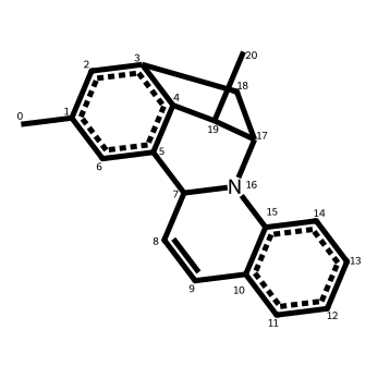 Cc1cc2c3c(c1)C1C=Cc4ccccc4N1C(C2)C3C